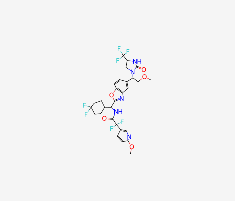 COCC(c1ccc2oc(C(NC(=O)C(F)(F)c3ccc(OC)nc3)C3CCC(F)(F)CC3)nc2c1)N1CC(C(F)(F)F)NC1=O